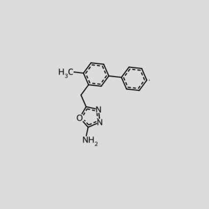 Cc1ccc(-c2cc[c]cc2)cc1Cc1nnc(N)o1